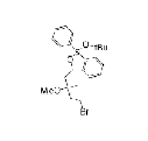 COC(C)(CCBr)CCO[Si](OC(C)(C)C)(c1ccccc1)c1ccccc1